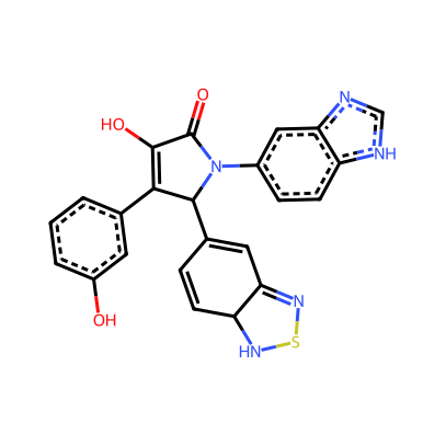 O=C1C(O)=C(c2cccc(O)c2)C(C2=CC3=NSNC3C=C2)N1c1ccc2[nH]cnc2c1